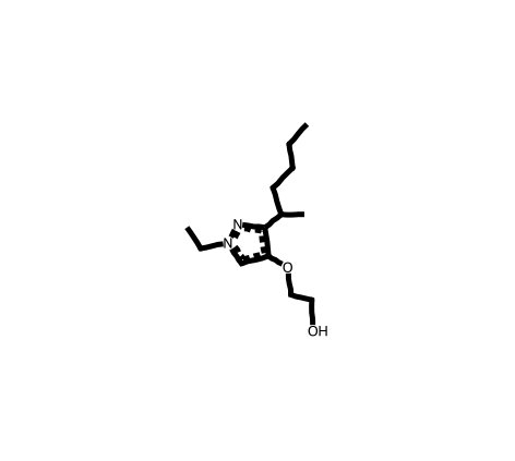 CCCCC(C)c1nn(CC)cc1OCCO